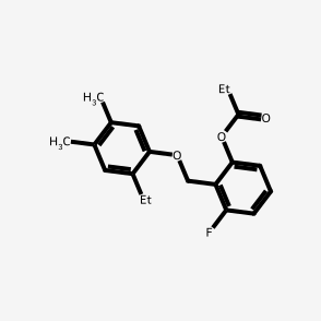 CCC(=O)Oc1cccc(F)c1COc1cc(C)c(C)cc1CC